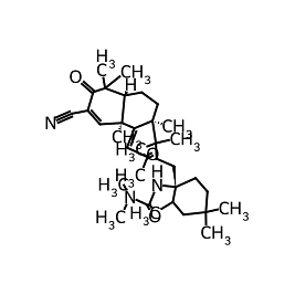 CC(=O)/C=C1/[C@@]2(C)C=C(C#N)C(=O)C(C)(C)[C@@H]2CC[C@@]1(C)C(C)(C)CC[C@@]1(NC(=O)N(C)C)CCC(C)(C)CC1C